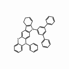 C1=Cc2c(c3cc4c(cc3n2-c2cc(-c3ccccc3)cc(-c3ccccc3)c2)N(c2ccccc2)c2ccccc2S4)CC1